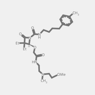 CCC1(CC)C(=O)N(C(=O)NCCCCc2ccc(C)cc2)[C@H]1OCC(=O)NCCN(C)CCOC